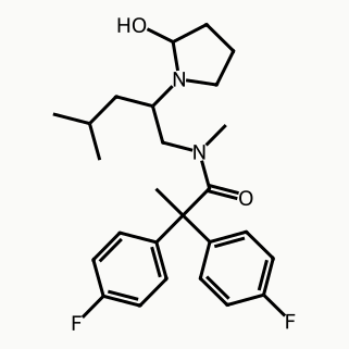 CC(C)CC(CN(C)C(=O)C(C)(c1ccc(F)cc1)c1ccc(F)cc1)N1CCCC1O